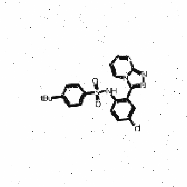 CC(C)(C)c1ccc(S(=O)(=O)Nc2ccc(Cl)cc2-c2nnc3ncccn23)cc1